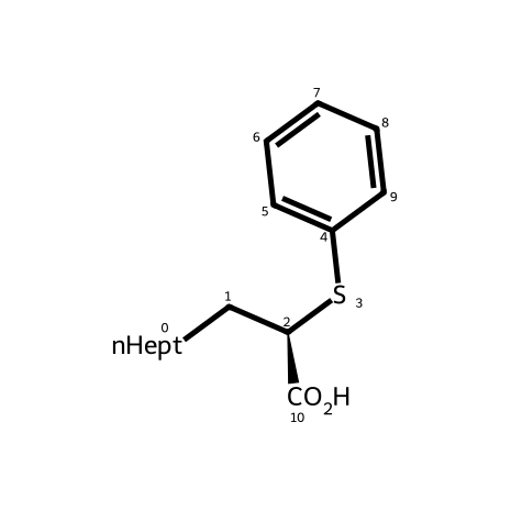 CCCCCCCC[C@@H](Sc1ccccc1)C(=O)O